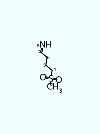 CS(=O)(=O)CCCC=N